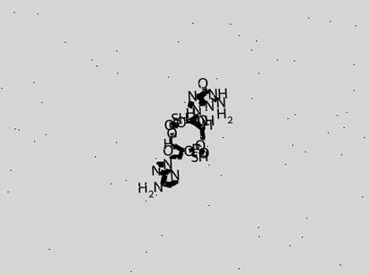 Nc1nc2c(ncn2[C@@H]2O[C@@H]3COP(=O)(S)OC4C[C@H](n5cnc6c(N)ccnc65)O[C@@H]4COP(=O)(S)O[C@H]2C3O)c(=O)[nH]1